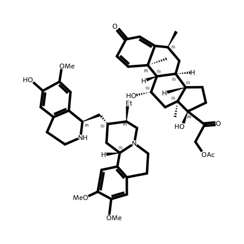 CC(=O)OCC(=O)[C@@]1(O)CC[C@H]2[C@@H]3C[C@H](C)C4=CC(=O)C=C[C@]4(C)[C@H]3[C@@H](O)C[C@@]21C.CC[C@H]1CN2CCc3cc(OC)c(OC)cc3[C@@H]2C[C@@H]1C[C@H]1NCCc2cc(O)c(OC)cc21